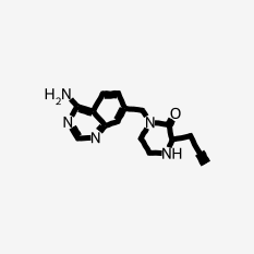 C#CCC1NCCN(Cc2ccc3c(N)ncnc3c2)C1=O